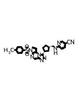 Cc1ccc(S(=O)(=O)n2ccc3c2ncc2nnc([C@@H]4CC[C@H](CNc5ccc(C#N)cn5)C4)n23)cc1